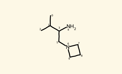 CC(C)C(N)CN1CCC1